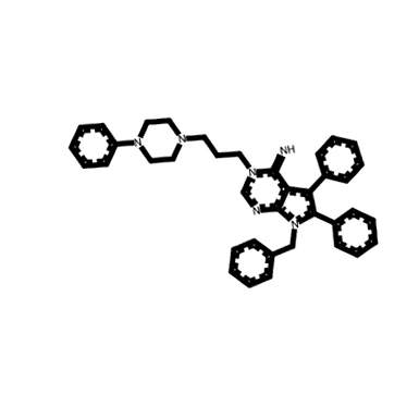 N=c1c2c(-c3ccccc3)c(-c3ccccc3)n(Cc3ccccc3)c2ncn1CCCN1CCN(c2ccccc2)CC1